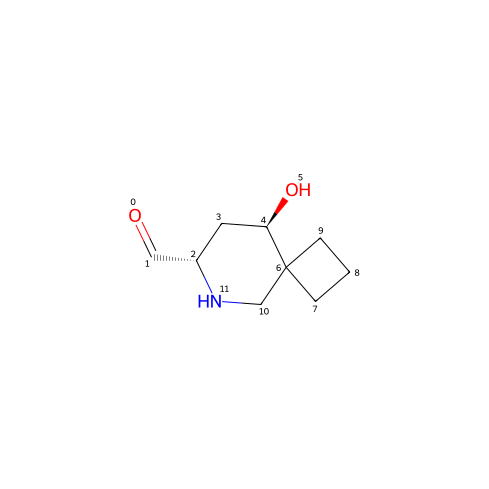 O=C[C@@H]1C[C@@H](O)C2(CCC2)CN1